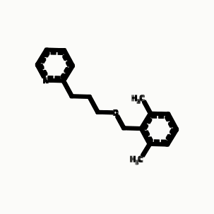 Cc1cccc(C)c1COCCCc1ccccn1